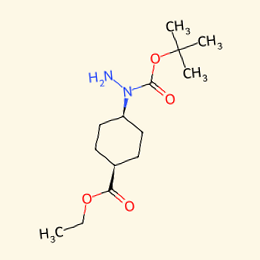 CCOC(=O)[C@H]1CC[C@@H](N(N)C(=O)OC(C)(C)C)CC1